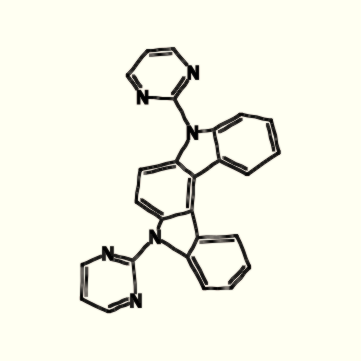 c1cnc(-n2c3ccccc3c3c4c5ccccc5n(-c5ncccn5)c4ccc32)nc1